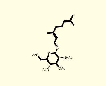 CC(=O)N[C@H]1C(OC(C)=O)[C@H](OC(C)=O)C(COC(C)=O)O[C@H]1OC/C=C(\C)CCC=C(C)C